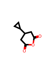 O=C1CC(C2CC2)CC(=O)O1